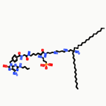 CCCCCCCCCCCCCCCCC(N)(CCCCCCCCCCCCCCCC)CCNCCCCNCCCNC(=O)[C@H](CCCCNC(=O)CNC(=O)c1ccc(Cn2c(O)nc3c(N)nc(NCCCC)nc32)cc1)NCCCP(=O)(O)O